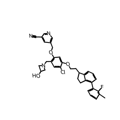 Cc1cccc(-c2cccc3c2CCC3CCOc2cc(OCc3cncc(C#N)c3)c(CN3CC(O)C3)cc2Cl)c1F